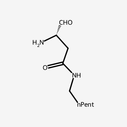 CCCCCCNC(=O)C[C@H](N)C=O